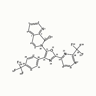 O=c1c2ncccc2ccn1-c1oc(-c2ccnc(C(F)(F)F)n2)nc1-c1ccc(C(F)(F)F)cc1